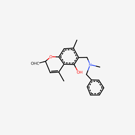 CC1=CC(C=O)Oc2cc(C)c(CN(C)Cc3ccccc3)c(O)c21